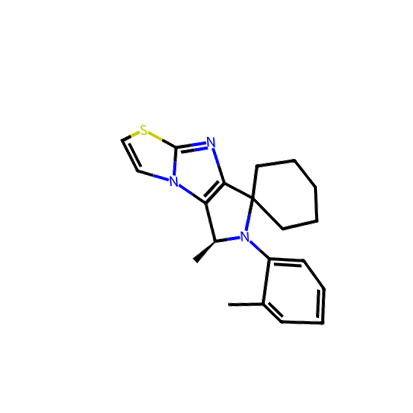 Cc1ccccc1N1[C@@H](C)c2c(nc3sccn23)C12CCCCC2